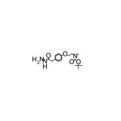 CN(CCOc1ccc(CC(=O)NN)cc1)C(=O)OC(C)(C)C